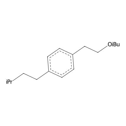 CC(C)CCc1ccc(CCOCC(C)C)cc1